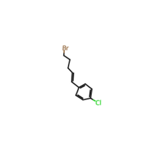 Clc1ccc(C=CCCCBr)cc1